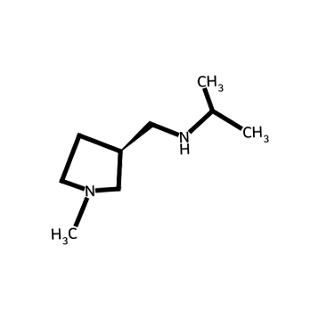 CC(C)NC[C@@H]1CCN(C)C1